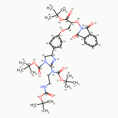 CC(C)(C)OC(=O)NCCN(C(=O)OC(C)(C)C)C1=NC(c2ccc(OC[C@H](ON3C(=O)c4ccccc4C3=O)C(=O)OC(C)(C)C)cc2)CN1C(=O)OC(C)(C)C